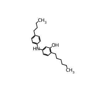 CCCCCCc1ccc(Nc2ccc(CCCC)cc2)cc1O